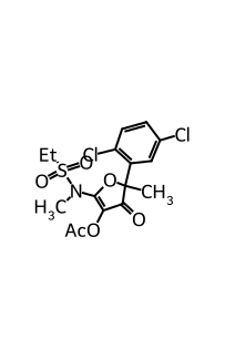 CCS(=O)(=O)N(C)C1=C(OC(C)=O)C(=O)C(C)(c2cc(Cl)ccc2Cl)O1